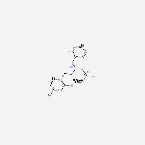 CN/C(C)=C\C(=C/c1ccncc1C)CCc1ncc(F)cc1F